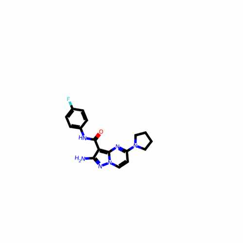 Nc1nn2ccc(N3CCCC3)nc2c1C(=O)Nc1ccc(F)cc1